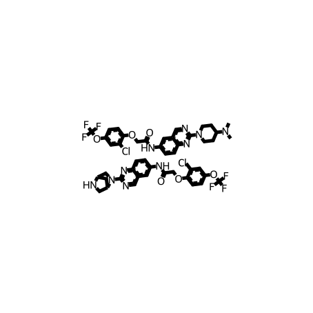 CN(C)C1CCN(c2ncc3cc(NC(=O)COc4ccc(OC(F)(F)F)cc4Cl)ccc3n2)CC1.O=C(COc1ccc(OC(F)(F)F)cc1Cl)Nc1ccc2nc(N3CC4CC3CN4)ncc2c1